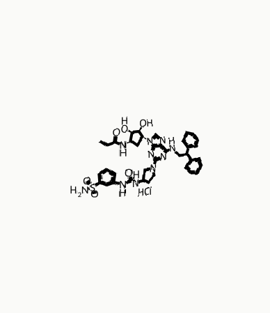 CCC(=O)N[C@H]1C[C@@H](n2cnc3c(NCC(c4ccccc4)c4ccccc4)nc(N4CCC(NC(=O)Nc5cccc(S(N)(=O)=O)c5)C4)nc32)[C@H](O)[C@@H]1O.Cl